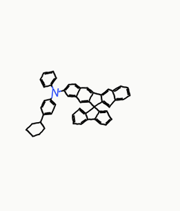 c1ccc(N(c2ccc(C3CCCCC3)cc2)c2ccc3cc4c(cc3c2)C2(c3ccccc3-c3ccccc32)c2cc3ccccc3cc2-4)cc1